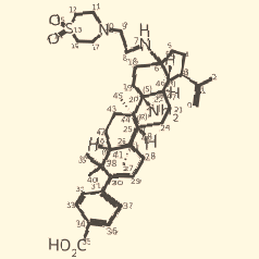 C=C(C)[C@@H]1CCC2(NCCN3CCS(=O)(=O)CC3)CC[C@]3(N)[C@H](CC[C@@H]4[C@@]5(C)CC=C(c6ccc(C(=O)O)cc6)C(C)(C)[C@@H]5CC[C@]43C)[C@@H]12